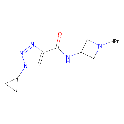 CC(C)N1CC(NC(=O)c2cn(C3CC3)nn2)C1